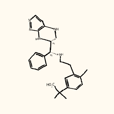 Cc1ccc(C(C)(C)C(=O)O)cc1CCN[C@H](c1ccccc1)[C@H]1CNc2ccnnc2N1